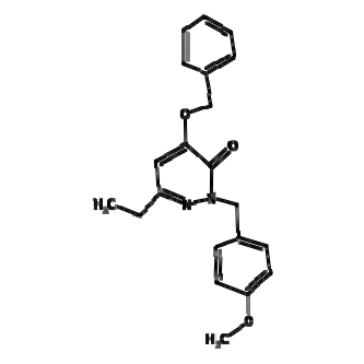 CCc1cc(OCc2ccccc2)c(=O)n(Cc2ccc(OC)cc2)n1